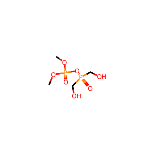 COP(=O)(OC)OP(=O)(CO)CO